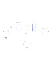 O=C(NCc1ccccn1)Oc1cnc(N2CCc3ccccc32)nc1OCc1ccc2c(c1)OCO2